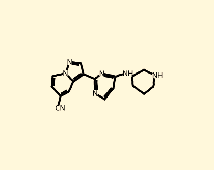 N#Cc1ccn2ncc(-c3nccc(NC4CCCNC4)n3)c2c1